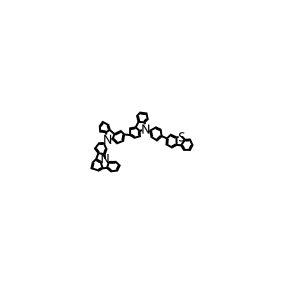 c1ccc2c(c1)sc1cc(-c3ccc(-n4c5ccccc5c5cc(-c6ccc7c(c6)c6ccccc6n7-c6ccc7c8cccc9c%10ccccc%10n(c7c6)c98)ccc54)cc3)ccc12